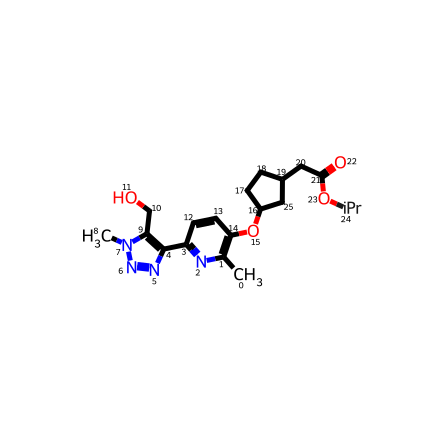 Cc1nc(-c2nnn(C)c2CO)ccc1OC1CCC(CC(=O)OC(C)C)C1